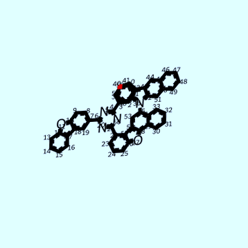 c1ccc(-c2nc(-c3ccc4oc5ccccc5c4c3)nc(-c3cccc4oc5c6ccccc6c(-n6c7ccccc7c7cc8ccccc8cc76)cc5c34)n2)cc1